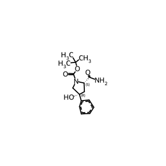 CC(C)(C)OC(=O)N1C[C@](O)(c2ccccc2)C[C@H]1C(N)=O